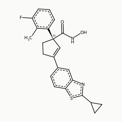 Cc1c(F)cccc1[C@@]1(C(=O)NO)C=C(c2ccc3sc(C4CC4)nc3c2)CC1